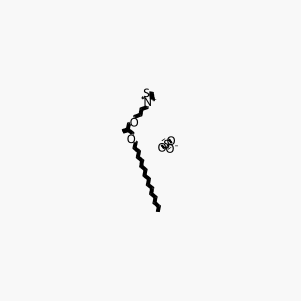 C=C(COCCCCCCCCCCCCCCCC)COCCCC[n+]1ccsc1.CS(=O)(=O)[O-]